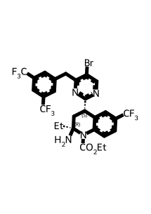 CCOC(=O)N1c2ccc(C(F)(F)F)cc2[C@@H](c2ncc(Br)c(Cc3cc(C(F)(F)F)cc(C(F)(F)F)c3)n2)C[C@@]1(N)CC